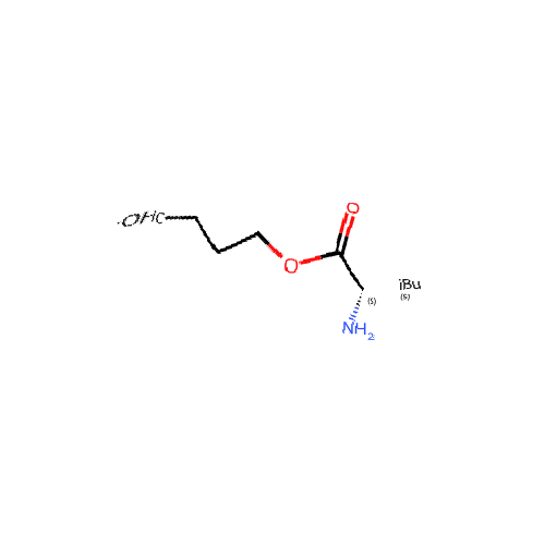 CC[C@H](C)[C@H](N)C(=O)OCCC[C]=O